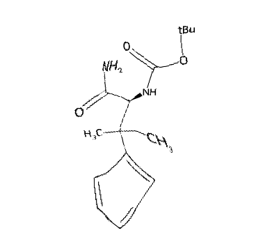 CC(C)(C)OC(=O)N[C@H](C(N)=O)C(C)(C)c1ccccc1